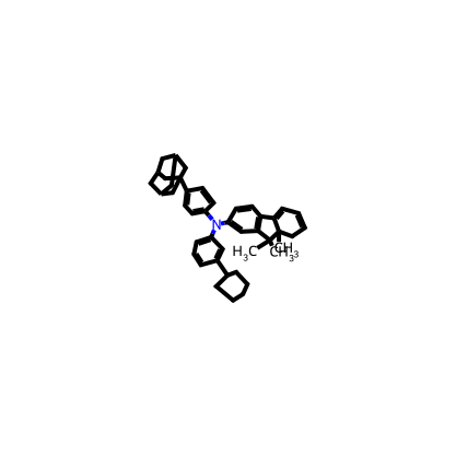 CC12CC=CC=C1c1ccc(N(c3ccc(C45CC6CC(CC(C6)C4)C5)cc3)c3cccc(C4CCCCC4)c3)cc1C2(C)C